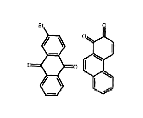 CCc1ccc2c(c1)C(=O)c1ccccc1C2=O.O=C1C=Cc2c(ccc3ccccc23)C1=O